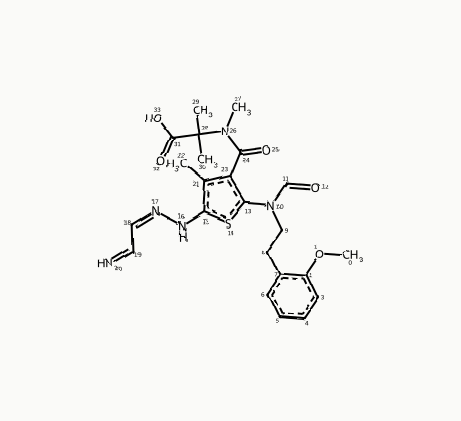 COc1ccccc1CCN(C=O)c1sc(N/N=C\C=N)c(C)c1C(=O)N(C)C(C)(C)C(=O)O